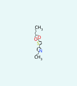 CCCCC1COC(c2ccc(-c3ccc(CCC)nc3)s2)OC1